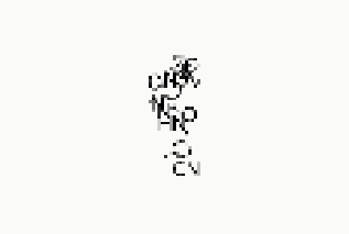 Cc1cc(CNC(=O)c2nn(C)c3c2CCN(CC2(S(=O)(=O)C4CC4)CC2)C3=O)ccc1C#N